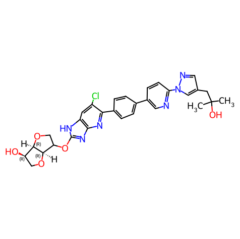 CC(C)(O)Cc1cnn(-c2ccc(-c3ccc(-c4nc5nc(OC6CO[C@@H]7[C@H](O)CO[C@H]67)[nH]c5cc4Cl)cc3)cn2)c1